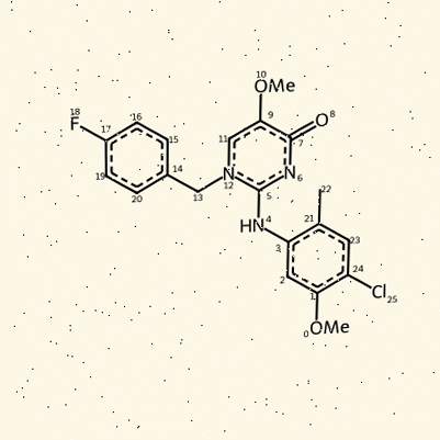 COc1cc(Nc2nc(=O)c(OC)cn2Cc2ccc(F)cc2)c(C)cc1Cl